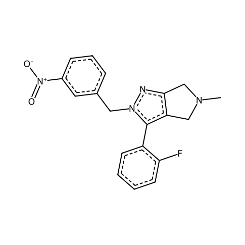 CN1Cc2nn(Cc3cccc([N+](=O)[O-])c3)c(-c3ccccc3F)c2C1